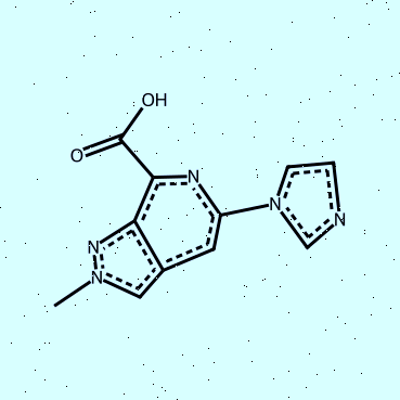 Cn1cc2cc(-n3ccnc3)nc(C(=O)O)c2n1